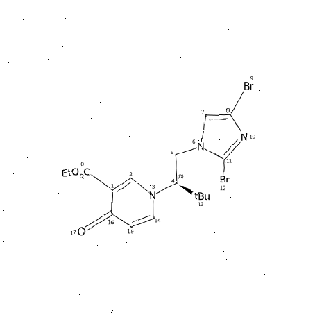 CCOC(=O)c1cn([C@@H](Cn2cc(Br)nc2Br)C(C)(C)C)ccc1=O